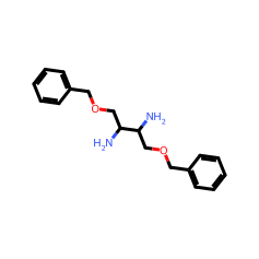 NC(COCc1ccccc1)C(N)COCc1ccccc1